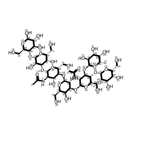 CC(=O)N[C@H]1[C@H](O[C@H]2[C@@H](O)[C@@H](CO)O[C@@H](O[C@H]3[C@H](O)[C@@H](O)[C@H](O)O[C@@H]3CO)[C@@H]2O)O[C@H](CO)[C@@H](O[C@@H]2O[C@H](CO)[C@H](O)[C@H](O[C@@H]3O[C@H](CO)[C@@H](O[C@@H]4O[C@H](CO)[C@H](O)[C@H](O)[C@H]4O)[C@H](O[C@@H]4O[C@@H](C)[C@@H](O)[C@@H](O)[C@@H]4O)[C@H]3NC(C)=O)[C@H]2O)[C@@H]1O